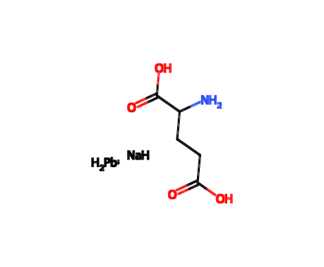 NC(CCC(=O)O)C(=O)O.[NaH].[PbH2]